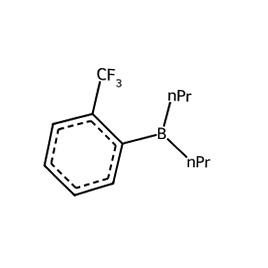 CCCB(CCC)c1ccccc1C(F)(F)F